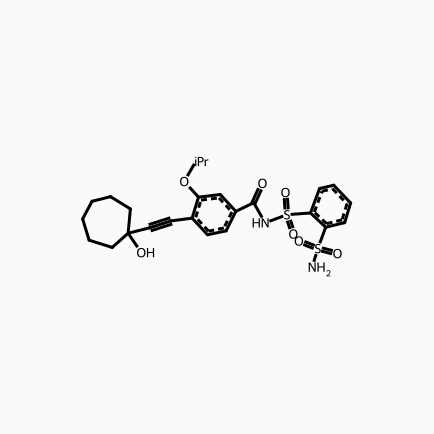 CC(C)Oc1cc(C(=O)NS(=O)(=O)c2ccccc2S(N)(=O)=O)ccc1C#CC1(O)CCCCCC1